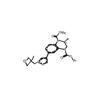 COC(=O)N1c2ccc(-c3cnn(CC4(C)COC4)c3)cc2N(C(=O)OC(C)C)C[C@@H]1C